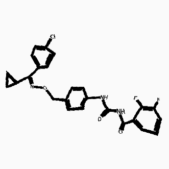 O=C(NC(=O)c1cccc(F)c1F)Nc1ccc(CON=C(c2ccc(Cl)cc2)C2CC2)cc1